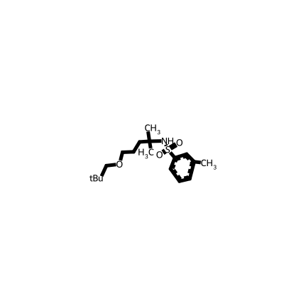 Cc1cccc(S(=O)(=O)NC(C)(C)CCCOCC(C)(C)C)c1